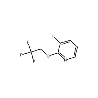 Fc1cccnc1OCC(F)(F)F